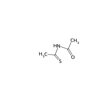 CC(=O)NC(C)=S